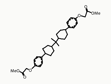 COC(=O)COc1ccc(C2CCC(C(C)(C)C3CCC(c4ccc(OCC(=O)OC)cc4)CC3)CC2)cc1